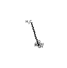 CCCCCCCCC=CCCCCCCCC(=O)C(OP)C(O)CO